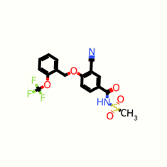 CS(=O)(=O)NC(=O)c1ccc(OCc2ccccc2OC(F)(F)F)c(C#N)c1